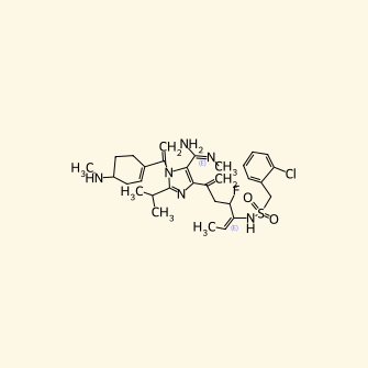 C=C(CC(F)/C(=C\C)NS(=O)(=O)Cc1ccccc1Cl)c1nc(C(C)C)n(C(=C)C2=CCC(NC)CC2)c1/C(N)=N\C